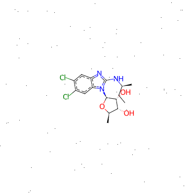 CC[C@H](C)Nc1nc2cc(Cl)c(Cl)cc2n1[C@@H]1O[C@H](C)[C@@H](O)[C@H]1O